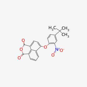 CC(C)(C)c1ccc(Oc2ccc3c4c(cccc24)C(=O)OC3=O)c([N+](=O)[O-])c1